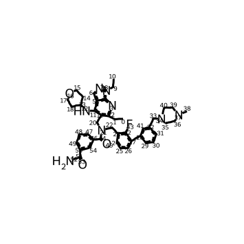 CCc1nc2c(cnn2CC)c(NC2CCOCC2)c1CN(Cc1cccc(-c2cccc(CN3CCN(C)CC3)c2)c1F)C(=O)c1cccc(C(N)=O)c1